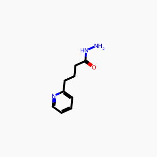 NNC(=O)CCCc1ccccn1